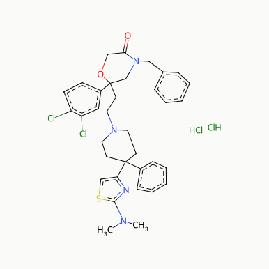 CN(C)c1nc(C2(c3ccccc3)CCN(CCC3(c4ccc(Cl)c(Cl)c4)CN(Cc4ccccc4)C(=O)CO3)CC2)cs1.Cl.Cl